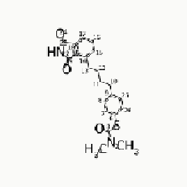 CN(C)C(=O)Sc1ccc(CCCCc2cccc3c2C(=O)NC3=O)cc1